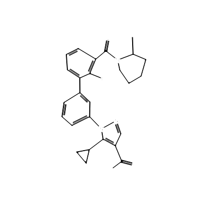 CC1CCCCN1C(=O)c1cccc(-c2cccc(-n3ncc(C(=O)O)c3C3CC3)c2)c1F